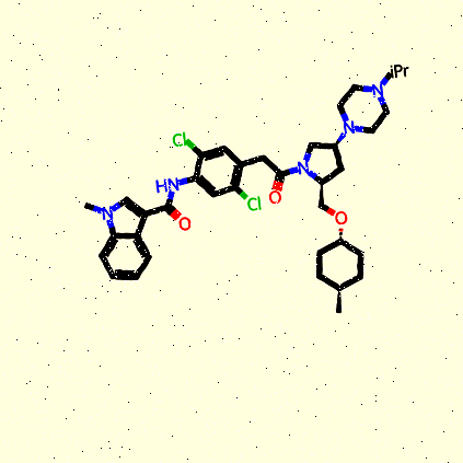 CC(C)N1CCN([C@H]2C[C@@H](CO[C@H]3CC[C@H](C)CC3)N(C(=O)Cc3cc(Cl)c(NC(=O)c4cn(C)c5ccccc45)cc3Cl)C2)CC1